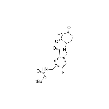 CC(C)(C)OC(=O)NCc1cc2c(cc1F)CN(C1CCC(=O)NC1=O)C2=O